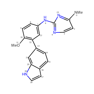 CNc1ccnc(Nc2ccc(OC)c(-c3ccc4cc[nH]c4c3)c2)n1